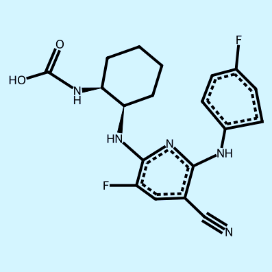 N#Cc1cc(F)c(N[C@@H]2CCCC[C@@H]2NC(=O)O)nc1Nc1ccc(F)cc1